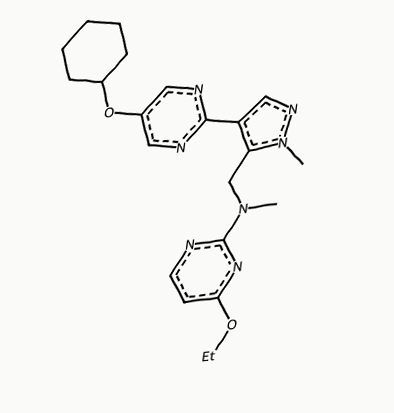 CCOc1ccnc(N(C)Cc2c(-c3ncc(OC4CCCCC4)cn3)cnn2C)n1